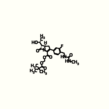 CNC(=O)NCc1ccc(C2=C(C(=O)OCOC(=O)C(C)(C)C)N3C(=O)[C@H]([C@@H](C)O)[C@H]3C2)cc1F